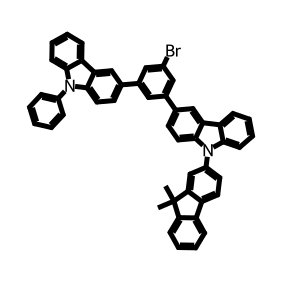 CC1(C)c2ccccc2-c2ccc(-n3c4ccccc4c4cc(-c5cc(Br)cc(-c6ccc7c(c6)c6ccccc6n7-c6ccccc6)c5)ccc43)cc21